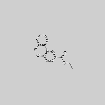 CCOC(=O)c1ccc(=O)n(-c2ccccc2F)n1